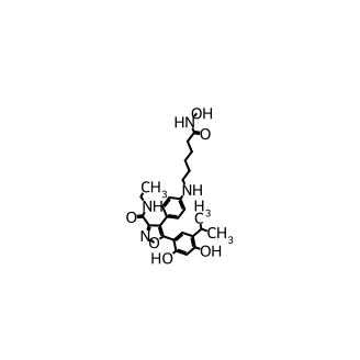 CCNC(=O)c1noc(-c2cc(C(C)C)c(O)cc2O)c1-c1ccc(NCCCCCC(=O)NO)cc1